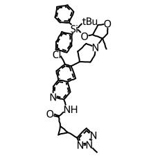 Cn1ncc(C2CC2C(=O)Nc2cc3cc(C4CCN(C5(C)COCC5O[Si](c5ccccc5)(c5ccccc5)C(C)(C)C)CC4)c(Cl)cc3cn2)n1